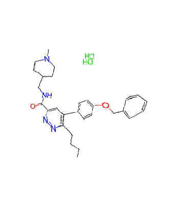 CCCCc1nnc(C(=O)NCC2CCN(C)CC2)cc1-c1ccc(OCc2ccccc2)cc1.Cl.Cl